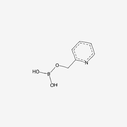 OB(O)OCc1ccccn1